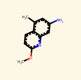 COc1ccc2c(C)cc(N)cc2n1